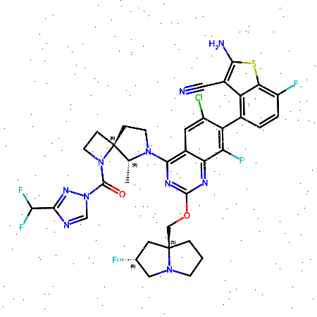 C[C@H]1N(c2nc(OC[C@@]34CCCN3C[C@H](F)C4)nc3c(F)c(-c4ccc(F)c5sc(N)c(C#N)c45)c(Cl)cc23)CC[C@@]12CCN2C(=O)n1cnc(C(F)F)n1